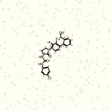 O=C(Nc1ccc(Cl)cc1)N[C@@H]1CCN(c2ccc(-c3ccccc3CO)c(F)c2F)C1=O